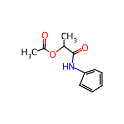 CC(=O)OC(C)C(=O)Nc1ccccc1